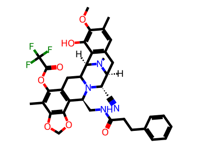 COc1c(C)cc2c(c1O)[C@@H]1C3Cc4c(OC(=O)C(F)(F)F)c(C)c5c(c4[C@H](CNC(=O)CCc4ccccc4)N3[C@@H](C#N)[C@H](C2)N1C)OCO5